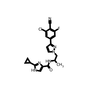 CC(Cn1ccc(-c2cc(F)c(C#N)c(Cl)c2)n1)NC(=O)c1c[nH]c(C2CC2)n1